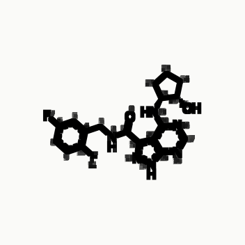 O=C(NCc1cc(F)ccc1F)c1n[nH]c2ncnc(N[C@H]3CCC[C@@H]3O)c12